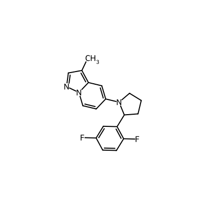 Cc1cnn2ccc(N3CCCC3c3cc(F)ccc3F)cc12